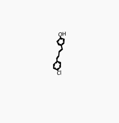 Oc1ccc(C=CC=Cc2ccc(Cl)cc2)cc1